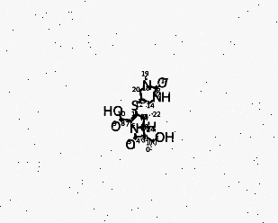 C[C@@H](O)[C@H]1C(=O)N2C(C(=O)O)=C(SC3CNC(=O)N(C)C3)[C@H](C)[C@H]12